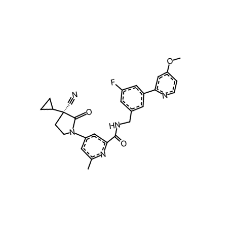 COc1ccnc(-c2cc(F)cc(CNC(=O)c3cc(N4CC[C@@](C#N)(C5CC5)C4=O)cc(C)n3)c2)c1